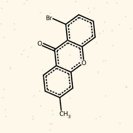 Cc1ccc2c(=O)c3c(Br)cccc3oc2c1